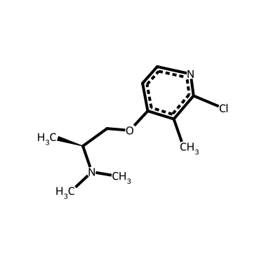 Cc1c(OC[C@H](C)N(C)C)ccnc1Cl